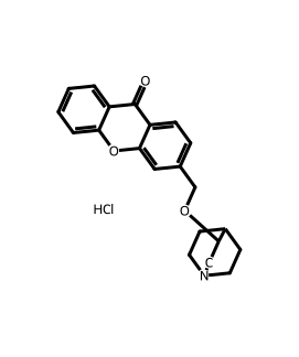 Cl.O=c1c2ccccc2oc2cc(COC3CN4CCC3CC4)ccc12